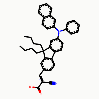 CCCCC1(CCCC)c2cc(/C=C(\C#N)C(=O)O)ccc2-c2ccc(N(c3ccccc3)c3ccc4ccccc4c3)cc21